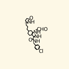 N=C(C(=O)NCc1ccc(Cl)cc1)C1=C(NCC=O)CC(CCC[C@H]2CCC(=O)N2)CC1